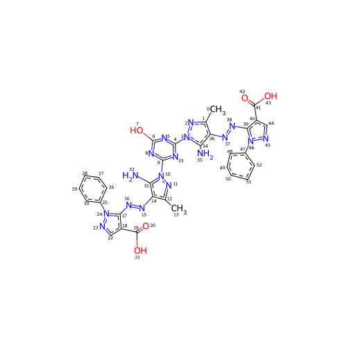 Cc1nn(-c2nc(O)nc(-n3nc(C)c(/N=N/c4c(C(=O)O)cnn4-c4ccccc4)c3N)n2)c(N)c1/N=N/c1c(C(=O)O)cnn1-c1ccccc1